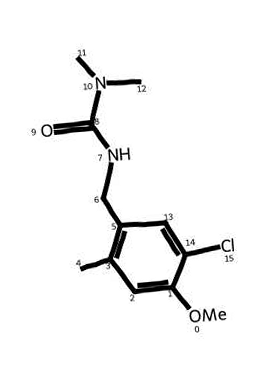 COc1cc(C)c(CNC(=O)N(C)C)cc1Cl